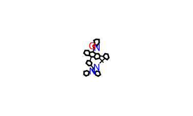 CC1(C)c2ccccc2-c2cc3c(-c4nc5ccccc5o4)c4ccccc4c(-c4cccc(-c5nc6ccccc6n5-c5ccccc5)c4)c3cc21